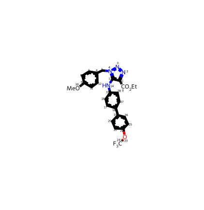 CCOC(=O)c1nnn(Cc2ccc(OC)cc2)c1Nc1ccc(-c2ccc(OC(F)(F)F)cc2)cc1